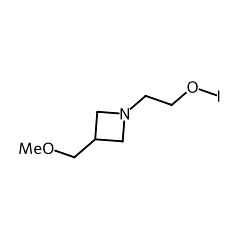 COCC1CN(CCOI)C1